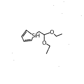 CCOC(C[SiH]1C=CC=C1)OCC